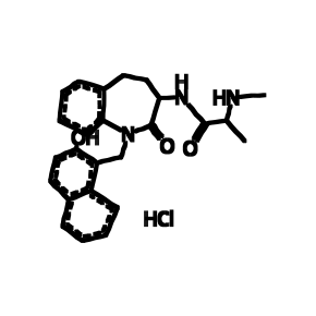 CNC(C)C(=O)NC1CCc2ccccc2N(Cc2c(O)ccc3ccccc23)C1=O.Cl